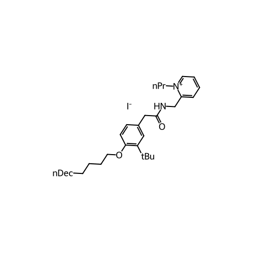 CCCCCCCCCCCCCCOc1ccc(CC(=O)NCc2cccc[n+]2CCC)cc1C(C)(C)C.[I-]